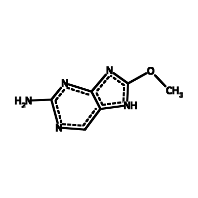 COc1nc2nc(N)ncc2[nH]1